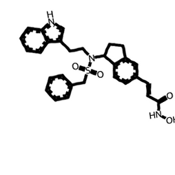 O=C(/C=C/c1ccc2c(c1)CCC2N(CCc1c[nH]c2ccccc12)S(=O)(=O)Cc1ccccc1)NO